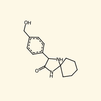 O=C1NC2(CCCCC2)NC1c1ccc(CO)cc1